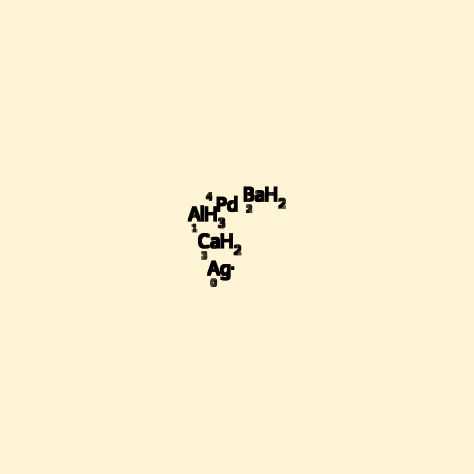 [Ag].[AlH3].[BaH2].[CaH2].[Pd]